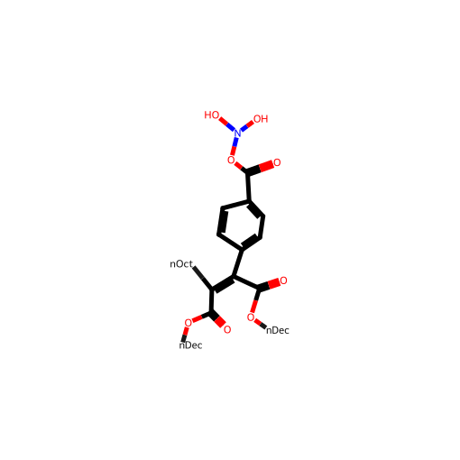 CCCCCCCCCCOC(=O)/C(CCCCCCCC)=C(\C(=O)OCCCCCCCCCC)c1ccc(C(=O)ON(O)O)cc1